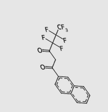 O=C(CC(=O)C(F)(F)C(F)(F)C(F)(F)F)c1ccc2ccccc2c1